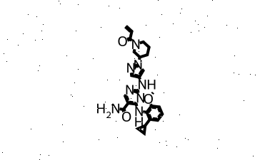 C=CC(=O)N1CCCC(n2cc(Nc3ncc(C(N)=O)c(Nc4c(OC)cccc4C4CC4)n3)cn2)C1